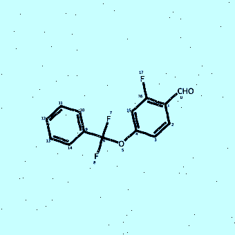 O=Cc1ccc(OC(F)(F)c2ccccc2)cc1F